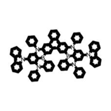 c1ccc(N2c3ccccc3B3c4cc5c6cc7c(cc6c6ccccc6c5cc4N(c4ccccc4)c4cc(-n5c6ccccc6c6ccccc65)cc2c43)N(c2ccccc2)c2cc(-n3c4ccccc4c4ccccc43)cc3c2B7c2ccccc2N3c2ccccc2)cc1